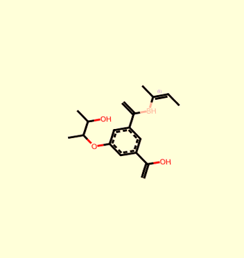 C=C(O)c1cc(OC(C)C(C)O)cc(C(=C)B/C(C)=C\C)c1